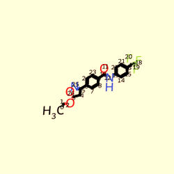 CCOC1CC(c2ccc(C(=O)Nc3ccc(C(F)(F)F)cc3)cc2)=NO1